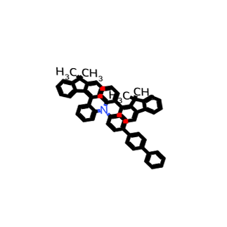 CC1(C)c2ccccc2-c2c(-c3ccccc3N(c3ccc(-c4ccc(-c5ccccc5)cc4)cc3)c3ccccc3-c3cccc4c3C(C)(C)c3ccccc3-4)cccc21